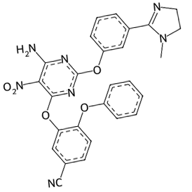 CN1CCN=C1c1cccc(Oc2nc(N)c([N+](=O)[O-])c(Oc3cc(C#N)ccc3Oc3ccccc3)n2)c1